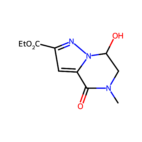 CCOC(=O)c1cc2n(n1)C(O)CN(C)C2=O